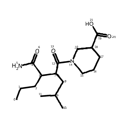 CCCC(C(N)=O)C(CC(C)C)C(=O)N1CCCC(C(=O)O)C1